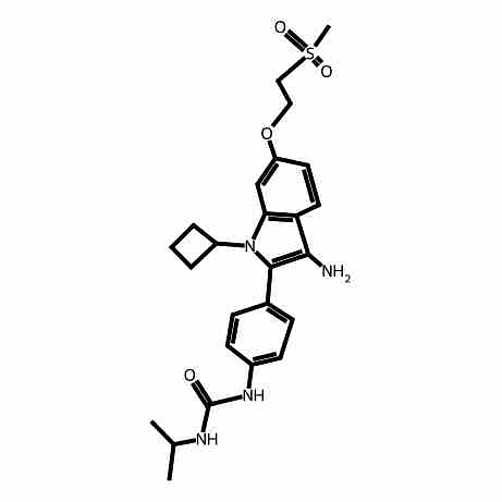 CC(C)NC(=O)Nc1ccc(-c2c(N)c3ccc(OCCS(C)(=O)=O)cc3n2C2CCC2)cc1